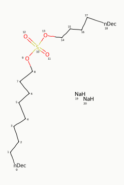 CCCCCCCCCCCCCCCCCCOS(=O)(=O)OCCCCCCCCCCCCCC.[NaH].[NaH]